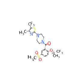 Cc1nc(N2CCN(C(=O)c3cc(S(C)(=O)=O)ccc3O[C@@H](C)C(F)(F)F)CC2)sc1C(F)(F)F